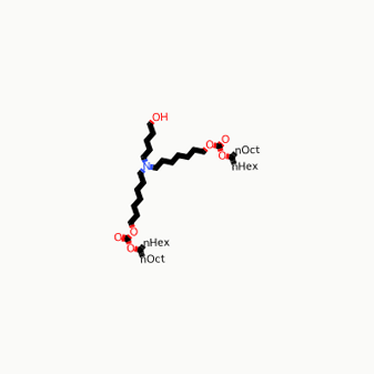 CCCCCCCCC(CCCCCC)OC(=O)OCCCCCCCN(CCCCCO)CCCCCCCOC(=O)OC(CCCCCC)CCCCCCCC